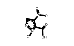 O=C(O)c1c([N+](=O)[O-])cnn1Cl